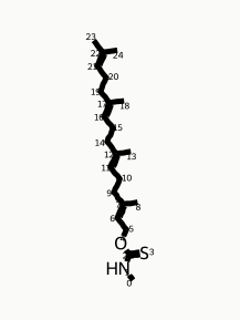 CNC(=S)OC/C=C(\C)CC/C=C(\C)CC/C=C(\C)CCC=C(C)C